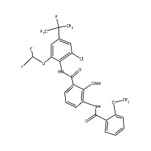 COc1c(NC(=O)c2ccccc2OC(F)(F)F)cccc1C(=O)Nc1c(Cl)cc(C(F)(C(F)(F)F)C(F)(F)F)cc1OC(F)F